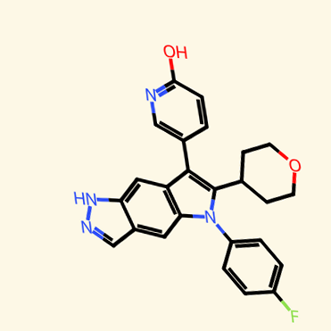 Oc1ccc(-c2c(C3CCOCC3)n(-c3ccc(F)cc3)c3cc4cn[nH]c4cc23)cn1